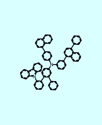 c1ccc(-c2cc(N(c3ccc(-c4cccc5ccccc45)cc3)c3cccc(-c4ccc(-c5ccccc5)c5ccccc45)c3)ccc2-c2ccccc2-n2c3ccccc3c3ccccc32)cc1